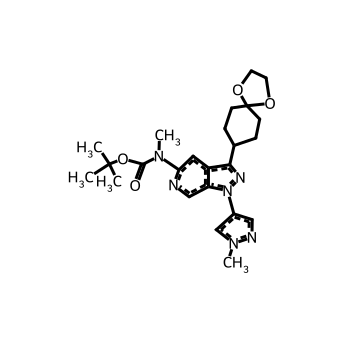 CN(C(=O)OC(C)(C)C)c1cc2c(C3CCC4(CC3)OCCO4)nn(-c3cnn(C)c3)c2cn1